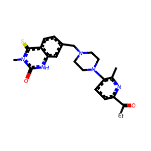 CCC(=O)c1ccc(N2CCN(Cc3ccc4c(=S)n(C)c(=O)[nH]c4c3)CC2)c(C)n1